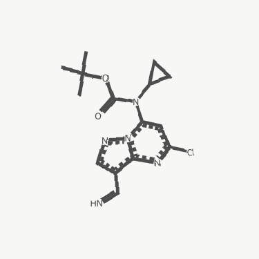 CC(C)(C)OC(=O)N(c1cc(Cl)nc2c(C=N)cnn12)C1CC1